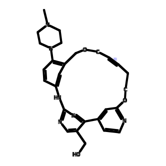 CN1CCN(c2ccc3cc2COC/C=C/CCOc2cc(ccn2)-c2nc(ncc2CO)N3)CC1